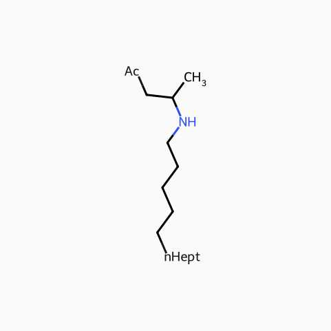 CCCCCCCCCCCCNC(C)CC(C)=O